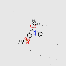 CC(C)OC(=O)C(Cc1ccc(OS(C)(=O)=O)cc1)NCc1ccccc1